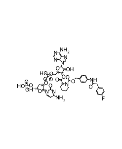 Nc1ccn([C@@H]2O[C@H](COP(=O)(O)O)C[C@H]2OOP(=O)(O)OC[C@H]2OC(n3cnc4c(N)ncnc43)[C@H](O)[C@@H]2OC(=O)[C@@H]2CCCCN2C(=O)OCc2ccc(NC(=O)Cc3ccc(F)cc3)cc2)c(=O)n1